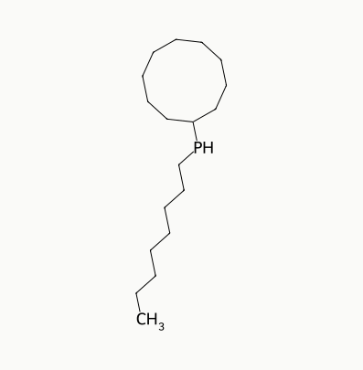 CCCCCCCCPC1CCCCCCCCC1